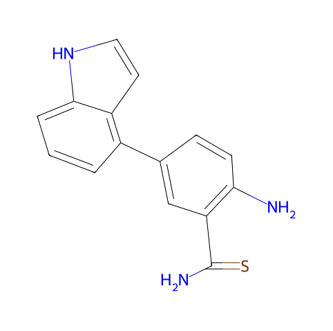 NC(=S)c1cc(-c2cccc3[nH]ccc23)ccc1N